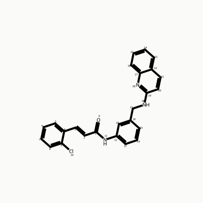 O=C(/C=C/c1ccccc1Cl)Nc1cccc(CNc2ccc3ccccc3n2)c1